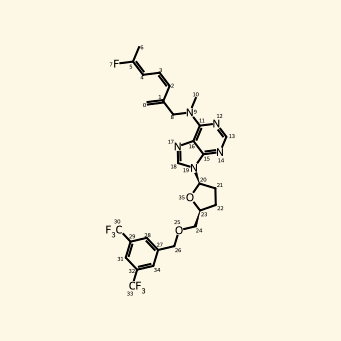 C=C(/C=C\C=C(/C)F)CN(C)c1ncnc2c1ncn2[C@H]1CC[C@@H](COCc2cc(C(F)(F)F)cc(C(F)(F)F)c2)O1